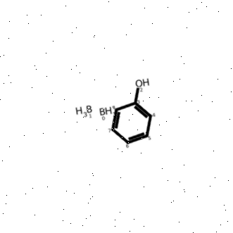 B.B.Oc1ccccc1